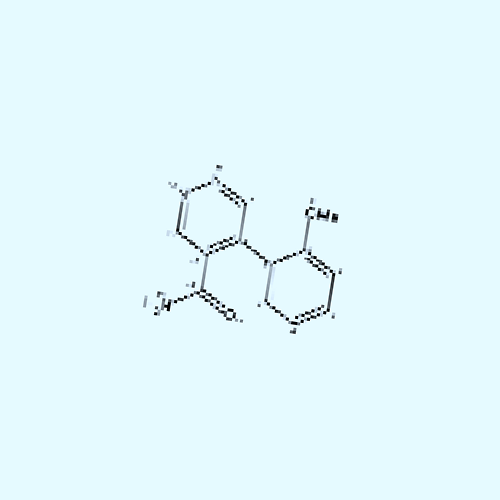 COc1ccccc1-c1cnncc1C(N)=O